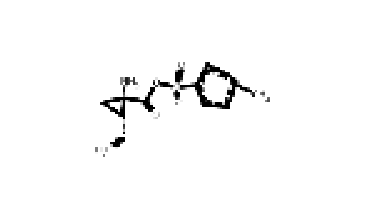 C=C[C@@H]1C[C@]1(N)C(=O)OS(=O)(=O)c1ccc(C)cc1